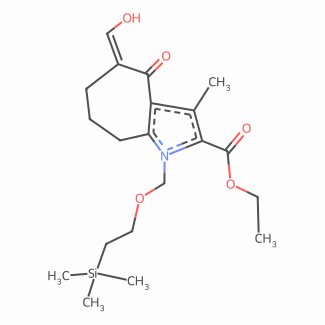 CCOC(=O)c1c(C)c2c(n1COCC[Si](C)(C)C)CCCC(=CO)C2=O